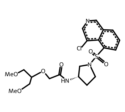 COCC(COC)OCC(=O)N[C@H]1CCN(S(=O)(=O)c2cccc3cncc(Cl)c23)C1